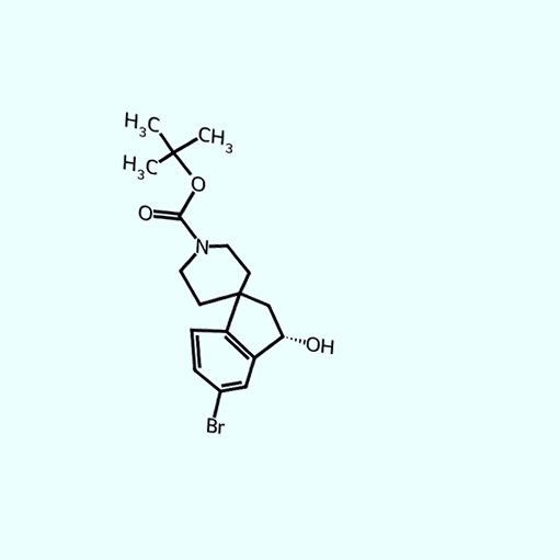 CC(C)(C)OC(=O)N1CCC2(CC1)C[C@H](O)c1cc(Br)ccc12